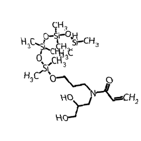 C=CC(=O)N(CCCO[Si](C)(C)O[Si](C)(C)O[Si](C)(C)O[SiH](C)C)CC(O)CO